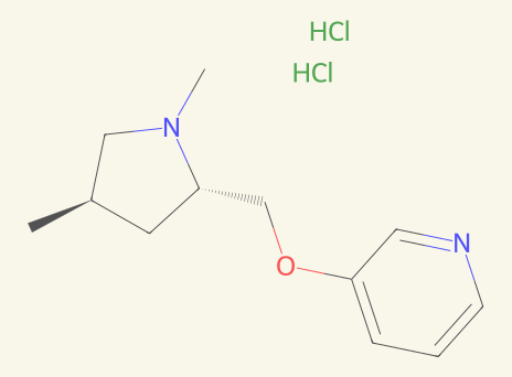 C[C@@H]1C[C@@H](COc2cccnc2)N(C)C1.Cl.Cl